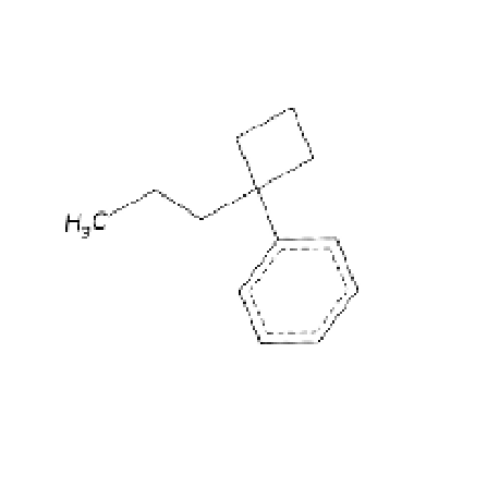 CCCC1(c2ccccc2)CCC1